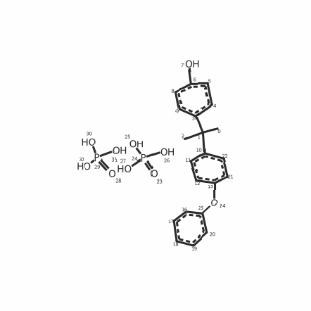 CC(C)(c1ccc(O)cc1)c1ccc(Oc2ccccc2)cc1.O=P(O)(O)O.O=P(O)(O)O